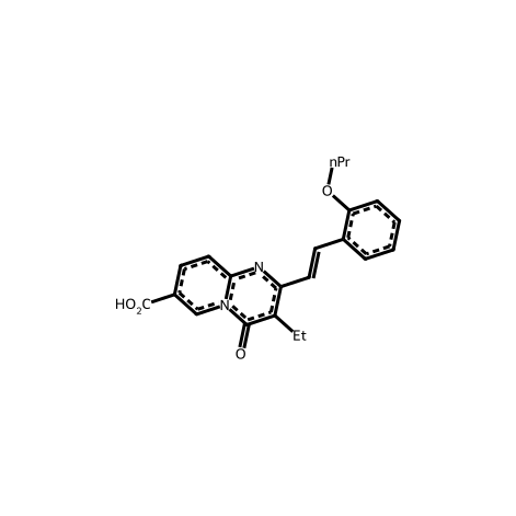 CCCOc1ccccc1/C=C/c1nc2ccc(C(=O)O)cn2c(=O)c1CC